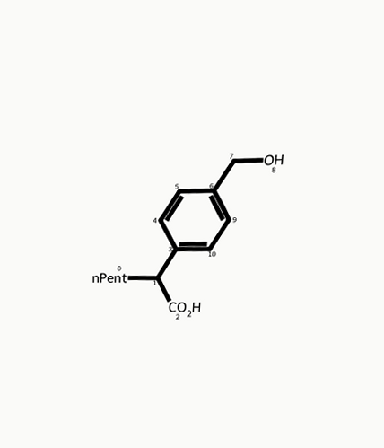 CCCCCC(C(=O)O)c1ccc(CO)cc1